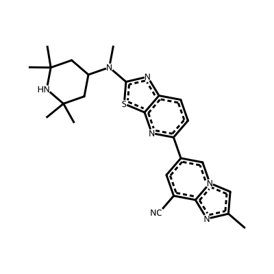 Cc1cn2cc(-c3ccc4nc(N(C)C5CC(C)(C)NC(C)(C)C5)sc4n3)cc(C#N)c2n1